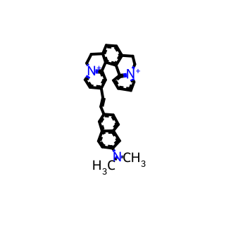 CN(C)c1ccc2cc(/C=C/c3cc[n+]4c(c3)-c3c(ccc5c3-c3cccc[n+]3CC5)CC4)ccc2c1